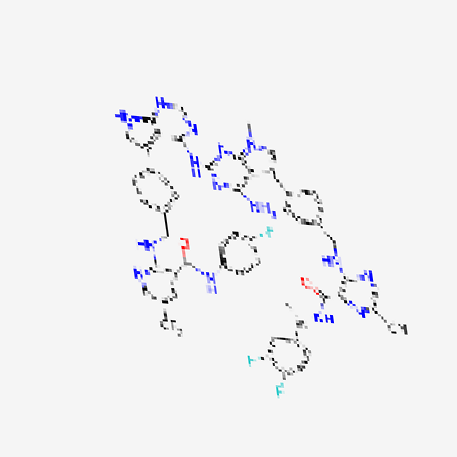 C[C@H](NC(=O)c1nc(C#N)cnc1NCc1ccc(-c2cn(C)c3nc(Nc4ncnc5[nH]cc(-c6ccc(CNc7ncc(C(F)(F)F)cc7C(=O)Nc7ccc(F)cc7)cc6)c45)nc(N)c23)cc1)c1ccc(F)c(F)c1